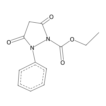 CCOC(=O)N1C(=O)CC(=O)N1c1ccccc1